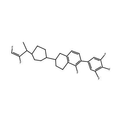 CC(/C(F)=C\F)C1CCC(C2CCc3c(ccc(-c4cc(F)c(F)c(F)c4)c3F)C2)CC1